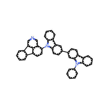 c1ccc(-n2c3ccccc3c3ccc(-c4ccc5c(c4)c4ccccc4n5-c4ccc5c6c(cncc46)-c4ccccc4-5)cc32)cc1